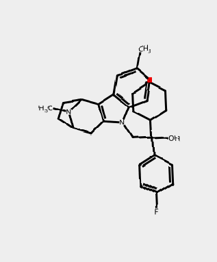 Cc1ccc2c(c1)c1c(n2CC(O)(c2ccc(F)cc2)C2CCCCC2)CC2CCC1N2C